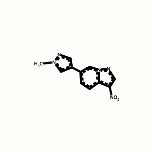 Cn1cc(-c2ccc3c([N+](=O)[O-])cnn3c2)cn1